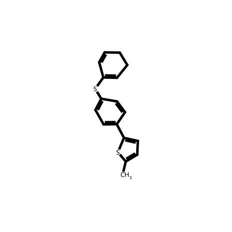 Cc1ccc(-c2ccc(SC3=CCCC=C3)cc2)s1